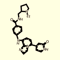 CCN1CCCC1CNC(=O)c1ccc(Nc2ccc(-c3cc[nH]c(=O)c3)n3ccnc23)cc1